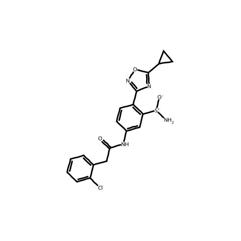 N[S+]([O-])c1cc(NC(=O)Cc2ccccc2Cl)ccc1-c1noc(C2CC2)n1